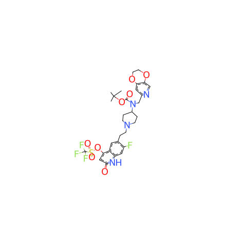 CC(C)(C)OC(=O)N(Cc1cc2c(cn1)OCCO2)C1CCN(CCc2cc3c(OS(=O)(=O)C(F)(F)F)cc(=O)[nH]c3cc2F)CC1